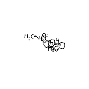 C=CC[S+]([O-])[C@H]1CC[C@H]2[C@@H]3CC=C4CCCC[C@]4(C)[C@H]3CC[C@]12C